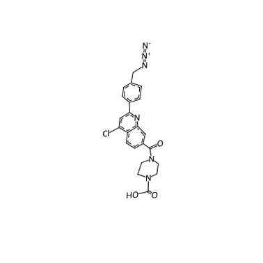 [N-]=[N+]=NCc1ccc(-c2cc(Cl)c3ccc(C(=O)N4CCN(C(=O)O)CC4)cc3n2)cc1